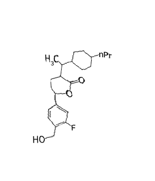 CCCC1CCC(C(C)C2CCC(c3ccc(CO)c(F)c3)OC2=O)CC1